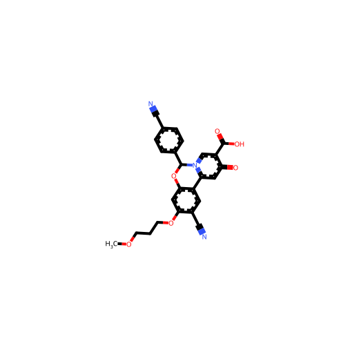 COCCCOc1cc2c(cc1C#N)-c1cc(=O)c(C(=O)O)cn1C(c1ccc(C#N)cc1)O2